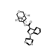 CN1[C@@H]2COC[C@H]1CC(OC(=O)c1cn(-c3cncnc3)c3ccccc13)C2